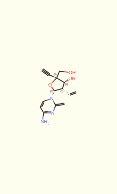 C#C[C@]1(CO)O[C@@H](N2C=CC(N)=NC2=C)[C@@H](C=C)[C@@H]1O